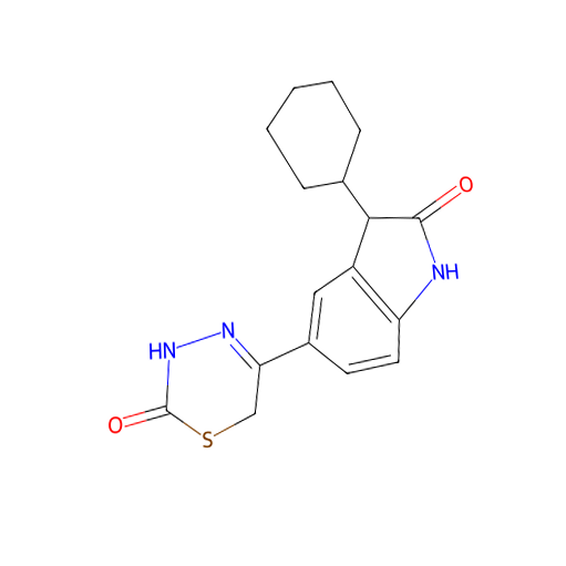 O=C1NN=C(c2ccc3c(c2)C(C2CCCCC2)C(=O)N3)CS1